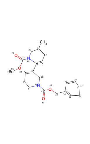 CC1CC=C(C2=CCCN(C(=O)OCc3ccccc3)C2)N(C(=O)OC(C)(C)C)C1